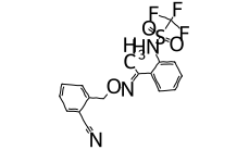 C/C(=N\OCc1ccccc1C#N)c1ccccc1NS(=O)(=O)C(F)(F)F